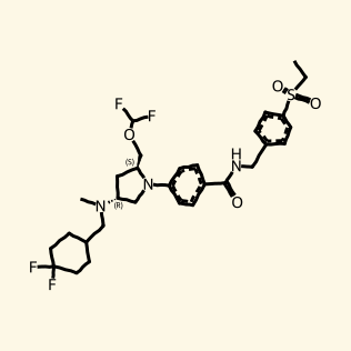 CCS(=O)(=O)c1ccc(CNC(=O)c2ccc(N3C[C@H](N(C)CC4CCC(F)(F)CC4)C[C@H]3COC(F)F)cc2)cc1